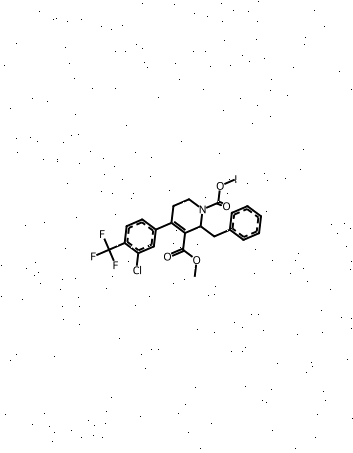 COC(=O)C1=C(c2ccc(C(F)(F)F)c(Cl)c2)CCN(C(=O)OI)C1Cc1ccccc1